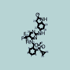 CS(=O)(=O)N(c1ccccc1CNc1nc(Nc2ccc3c(c2)CC(=O)N3)ncc1C(F)(F)F)C1CC1